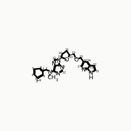 CN(Cc1cccc(F)c1)c1ncnc2c1ncn2[C@H]1CC[C@@H](COCc2cnc3[nH]ccc3c2)O1